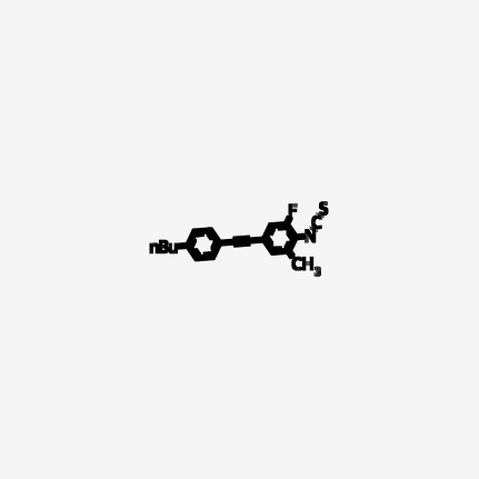 CCCCc1ccc(C#Cc2cc(C)c(N=C=S)c(F)c2)cc1